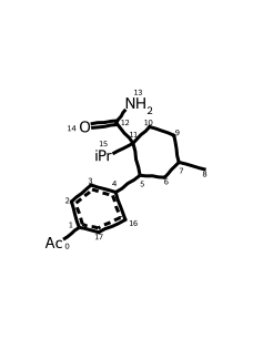 CC(=O)c1ccc(C2CC(C)CCC2(C(N)=O)C(C)C)cc1